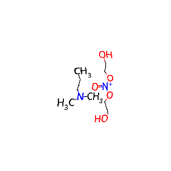 CCCN(C)C.O=[N+](OCCO)OCCO